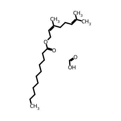 CCCCCCCCCCC(=O)OCC=C(C)CCC=C(C)C.O=CO